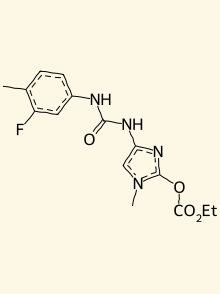 CCOC(=O)Oc1nc(NC(=O)Nc2ccc(C)c(F)c2)cn1C